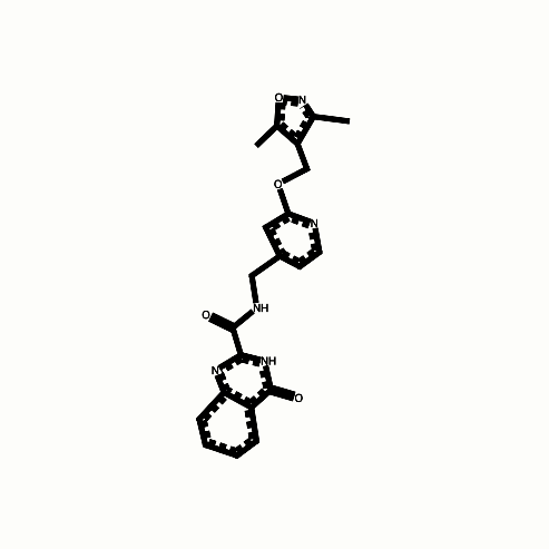 Cc1noc(C)c1COc1cc(CNC(=O)c2nc3ccccc3c(=O)[nH]2)ccn1